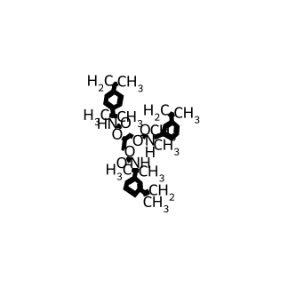 C=C(C)c1ccc(C(C)(C)NC(=O)OC(COC(=O)NC(C)(C)c2cccc(C(=C)C)c2)COC(=O)NC(C)(C)c2cccc(C(=C)C)c2)cc1